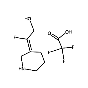 O=C(O)C(F)(F)F.OCC(F)=C1CCCNC1